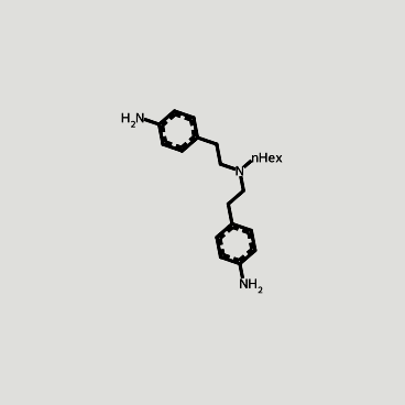 CCCCCCN(CCc1ccc(N)cc1)CCc1ccc(N)cc1